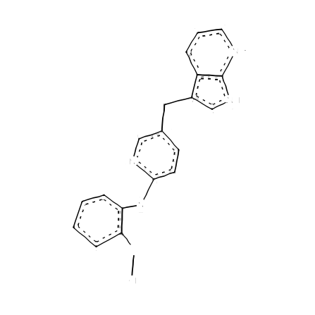 FC(F)(F)Oc1ccccc1Nc1ccc(Cc2c[nH]c3ncccc23)cn1